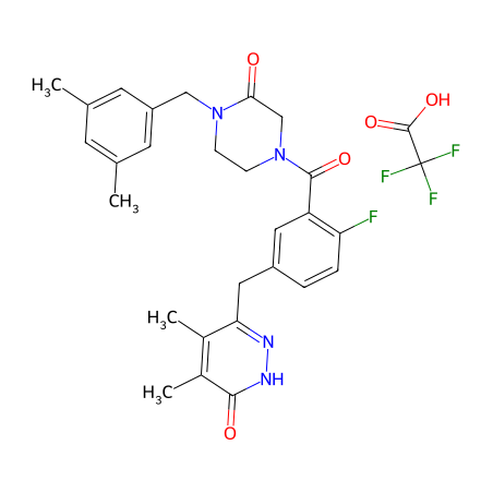 Cc1cc(C)cc(CN2CCN(C(=O)c3cc(Cc4n[nH]c(=O)c(C)c4C)ccc3F)CC2=O)c1.O=C(O)C(F)(F)F